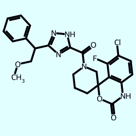 COCC(c1ccccc1)c1n[nH]c(C(=O)N2CCCC3(C2)OC(=O)Nc2ccc(Cl)c(F)c23)n1